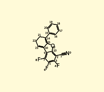 N#Cc1c(F)c(F)c(F)c2c3c(oc12)=C(c1ccccc1)CCC=3